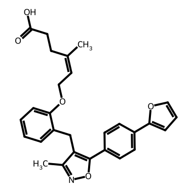 CC(=CCOc1ccccc1Cc1c(C)noc1-c1ccc(-c2ccco2)cc1)CCC(=O)O